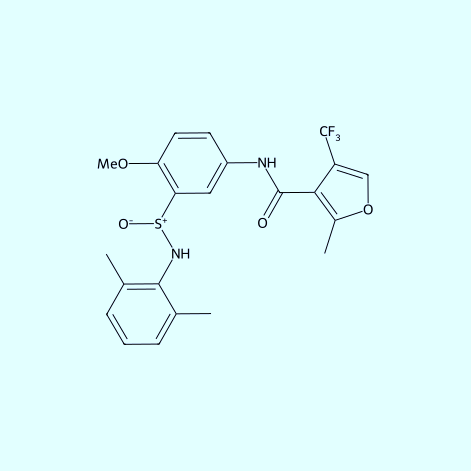 COc1ccc(NC(=O)c2c(C(F)(F)F)coc2C)cc1[S+]([O-])Nc1c(C)cccc1C